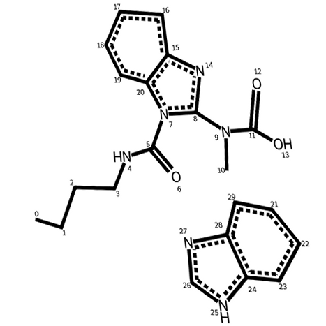 CCCCNC(=O)n1c(N(C)C(=O)O)nc2ccccc21.c1ccc2[nH]cnc2c1